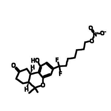 CC1(C)Oc2cc(C(F)(F)CCCCCCO[N+](=O)[O-])cc(O)c2[C@@H]2CC(=O)CC[C@@H]21